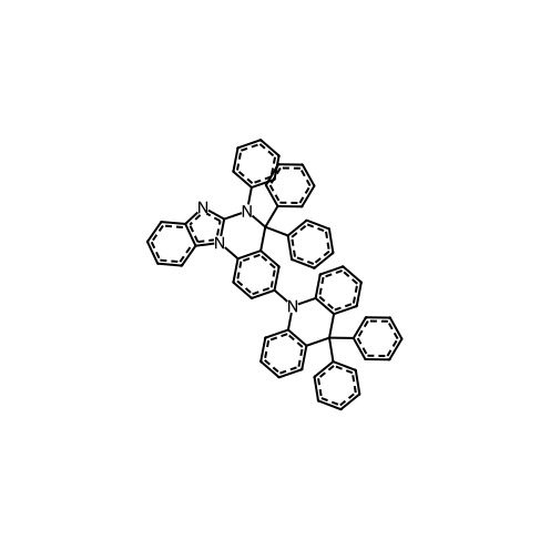 c1ccc(N2c3nc4ccccc4n3-c3ccc(N4c5ccccc5C(c5ccccc5)(c5ccccc5)c5ccccc54)cc3C2(c2ccccc2)c2ccccc2)cc1